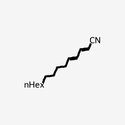 CCCCCCCCCCC=CC=CC#N